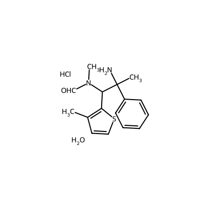 Cc1ccsc1C(N(C)C=O)C(C)(N)c1ccccc1.Cl.O